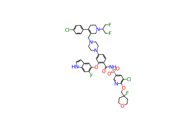 O=C(NS(=O)(=O)c1cnc(OCC2(F)CCOCC2)c(Cl)c1)c1ccc(N2CCN(CC3=C(c4ccc(Cl)cc4)CCN(C(CF)CF)C3)CC2)cc1Oc1cc2cc[nH]c2cc1F